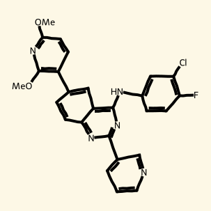 COc1ccc(-c2ccc3nc(-c4cccnc4)nc(Nc4ccc(F)c(Cl)c4)c3c2)c(OC)n1